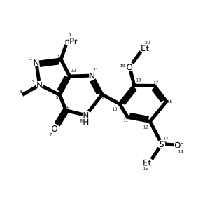 CCCc1nn(C)c2c(=O)[nH]c(-c3cc([S+]([O-])CC)ccc3OCC)nc12